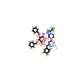 NC(CC(=O)N1CCn2c(nnc2C(F)(F)F)C1)Cc1cc(F)c(F)cc1F.O=C(O)[C@H](OCc1ccccc1)[C@@H](OCc1ccccc1)C(=O)O